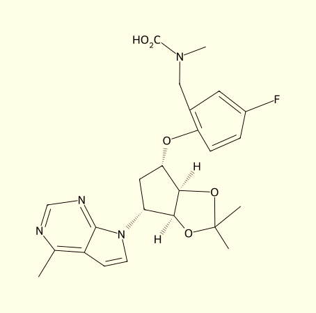 Cc1ncnc2c1ccn2[C@@H]1C[C@H](Oc2ccc(F)cc2CN(C)C(=O)O)[C@H]2OC(C)(C)O[C@H]21